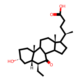 CC[C@@H]1C(=O)C2C3CCC([C@H](C)CCC(=O)O)[C@@]3(C)CCC2[C@@]2(C)CC[C@@H](O)C[C@@H]12